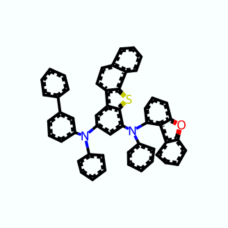 c1ccc(-c2cccc(N(c3ccccc3)c3cc(N(c4ccccc4)c4cccc5oc6ccccc6c45)c4sc5c6ccccc6ccc5c4c3)c2)cc1